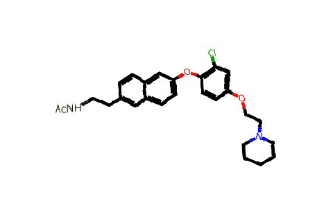 CC(=O)NCCc1ccc2cc(Oc3ccc(OCCN4CCCCC4)cc3Cl)ccc2c1